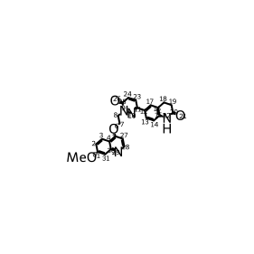 COc1ccc2c(OCCn3nc(-c4ccc5c(c4)CCC(=O)N5)ccc3=O)ccnc2c1